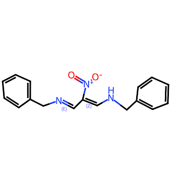 O=[N+]([O-])C(=C\NCc1ccccc1)/C=N/Cc1ccccc1